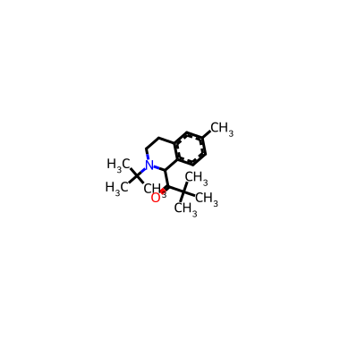 Cc1ccc2c(c1)CCN(C(C)(C)C)C2C(=O)C(C)(C)C